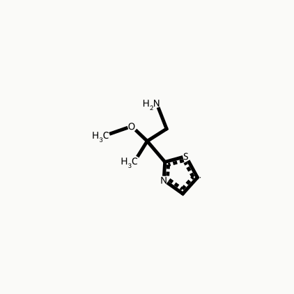 COC(C)(CN)c1nc[c]s1